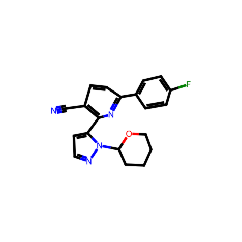 N#Cc1ccc(-c2ccc(F)cc2)nc1-c1ccnn1C1CCCCO1